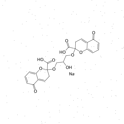 O=C1C=CC=C2OC(OCC(O)COC3(C(=O)O)CC=C4C(=O)C=CC=C4O3)(C(=O)O)CC=C12.[Na]